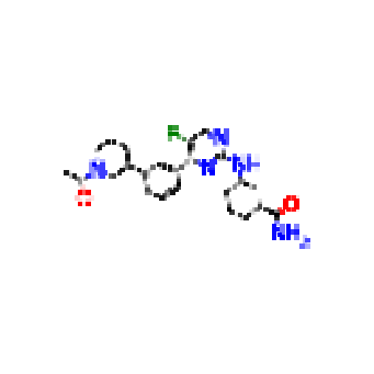 CC(=O)N1CCCC(c2cccc(-c3nc(NC4CCCC(C(N)=O)C4)ncc3F)c2)C1